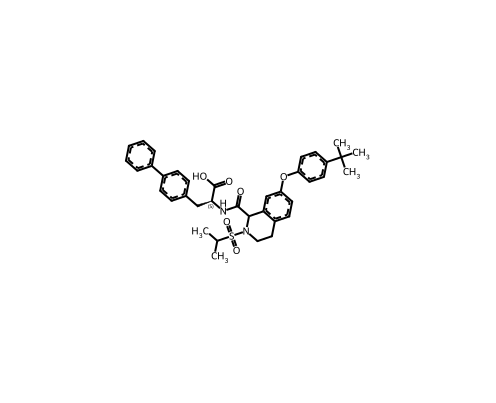 CC(C)S(=O)(=O)N1CCc2ccc(Oc3ccc(C(C)(C)C)cc3)cc2C1C(=O)N[C@@H](Cc1ccc(-c2ccccc2)cc1)C(=O)O